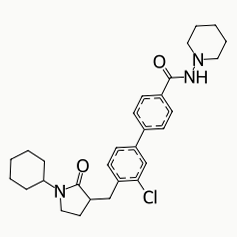 O=C(NN1CCCCC1)c1ccc(-c2ccc(CC3CCN(C4CCCCC4)C3=O)c(Cl)c2)cc1